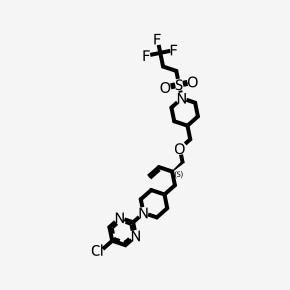 C=C[C@@H](COCC1CCN(S(=O)(=O)CCC(F)(F)F)CC1)CC1CCN(c2ncc(Cl)cn2)CC1